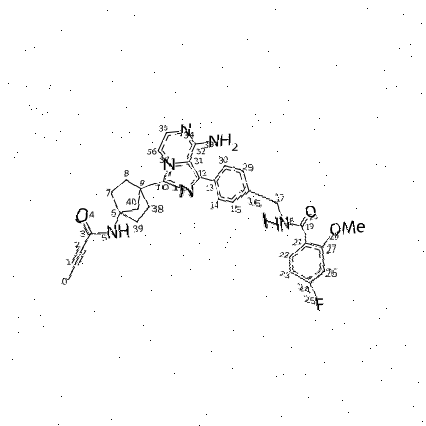 CC#CC(=O)NC12CCC(c3nc(-c4ccc(CNC(=O)c5ccc(F)cc5OC)cc4)c4c(N)nccn34)(CC1)C2